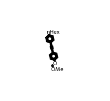 CCCCCCc1ccc(C#Cc2ccc(OCOC)cc2)cc1